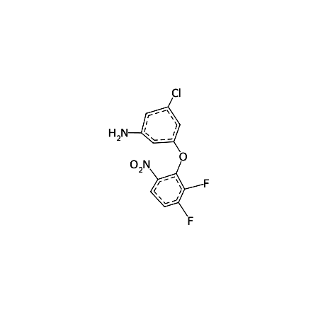 Nc1cc(Cl)cc(Oc2c([N+](=O)[O-])ccc(F)c2F)c1